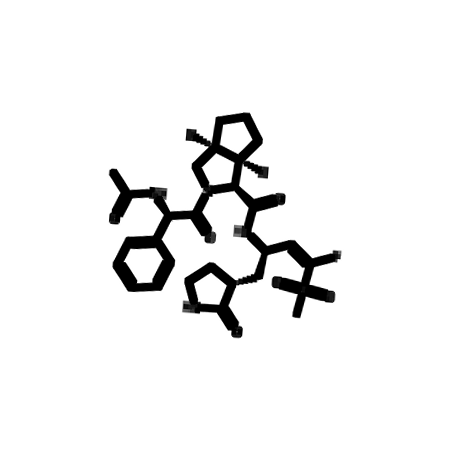 CC(=O)N[C@@H](C(=O)N1C[C@H]2CCC[C@H]2[C@H]1C(=O)N[C@@H](/C=C(/F)S(C)(=O)=O)C[C@H]1CCNC1=O)c1ccccc1